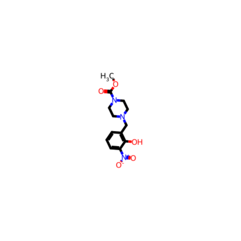 COC(=O)N1CCN(Cc2cccc([N+](=O)[O-])c2O)CC1